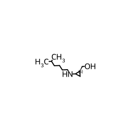 CC(C)CCCCNC1C[C@@H]1CO